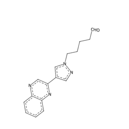 O=CCCCCn1cc(-c2cnc3ccccc3n2)cn1